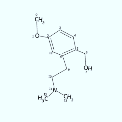 COc1ccc(CO)c(CCN(C)C)c1